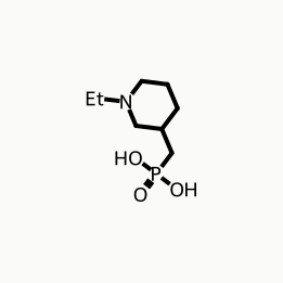 CCN1CCCC(CP(=O)(O)O)C1